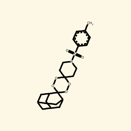 Cc1ccc(S(=O)(=O)N2CCC3(CC2)OOC2(OO3)C3CC4CC(C3)CC2C4)cc1